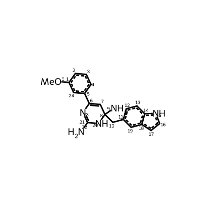 COc1cccc(C2=CC(N)(Cc3ccc4[nH]ccc4c3)NC(N)=N2)c1